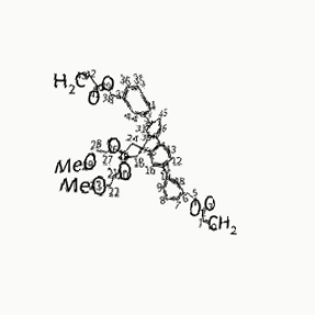 C=CC(=O)OCc1cccc(-c2ccc3c(c2)C(CCOCCOC)(CCOCCOC)c2cc(-c4cccc(COC(=O)C=C)c4)ccc2-3)c1